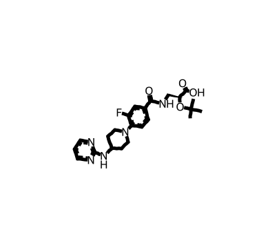 CC(C)(C)O[C@@H](CNC(=O)c1ccc(N2CCC(Nc3ncccn3)CC2)c(F)c1)C(=O)O